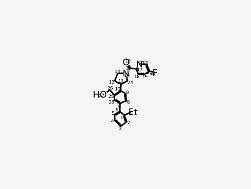 CCc1ccccc1-c1ccc(C2CCN(C(=O)c3ccc(F)cn3)C2)c(CO)c1